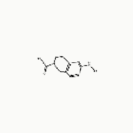 CCNc1ccc2c(c1)CCN(C(=O)C(C)C)C2